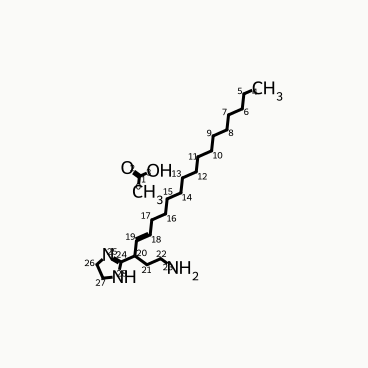 CC(=O)O.CCCCCCCCCCCCCCC=CC(CCN)C1=NCCN1